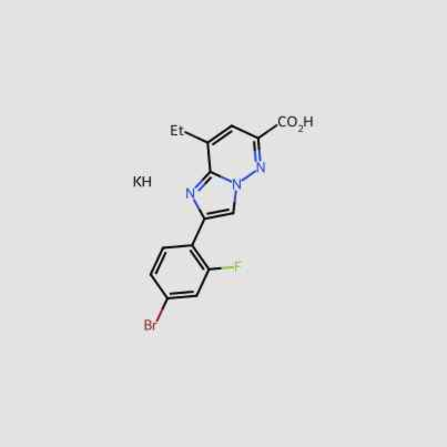 CCc1cc(C(=O)O)nn2cc(-c3ccc(Br)cc3F)nc12.[KH]